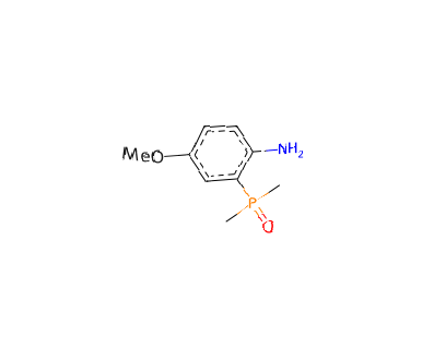 COc1ccc(N)c(P(C)(C)=O)c1